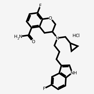 Cl.NC(=O)c1ccc(F)c2c1CC(N(CCCc1c[nH]c3ccc(F)cc13)CC1CC1)CO2